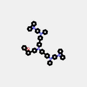 c1ccc(N(c2ccc(-c3ccc(N(c4ccc(-c5ccc(N(c6ccccc6)c6ccc(-n7c8ccccc8c8ccccc87)cc6)cc5)cc4)c4ccc(-c5cccc6c5oc5ccccc56)cc4)cc3)cc2)c2ccc(-n3c4ccccc4c4ccccc43)cc2)cc1